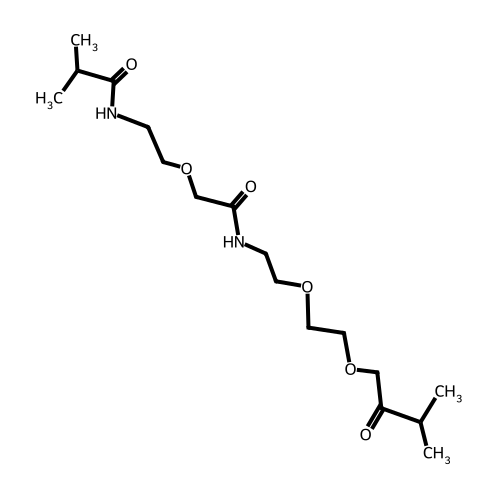 CC(C)C(=O)COCCOCCNC(=O)COCCNC(=O)C(C)C